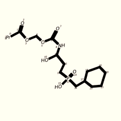 CC(C)C(=O)OCOC(=O)NC(O)CCP(=O)(O)CC1CCCCC1